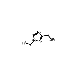 CC(C)Cc1ncn(CC(C)C)n1